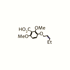 CC/C=C\COc1ccc(OC)c(C(=O)O)c1OC